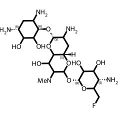 CNC1C(O[C@H]2OC(CF)[C@@H](N)C(O)C2O)O[C@H]2CC(N)[C@@H](O[C@@H]3C(N)C[C@@H](N)C(O)C3O)OC2C1O